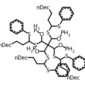 CCCCCCCCCCCCC(Sc1ccccc1)SC(OP)C(C(OP)SC(CCCCCCCCCCCC)Sc1ccccc1)(C(OP)SC(CCCCCCCCCCCC)Sc1ccccc1)C(OP)SC(CCCCCCCCCCCC)Sc1ccccc1